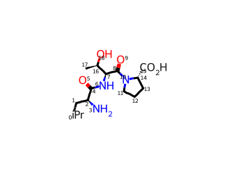 CC(C)C[C@H](N)C(=O)N[C@H](C(=O)N1CCC[C@H]1C(=O)O)[C@@H](C)O